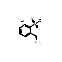 NCc1ccccc1S(=O)(=O)[O-].[Na+]